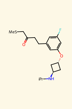 CSCC(=O)CCc1cc(F)cc(O[C@H]2C[C@H](NC(C)C)C2)c1